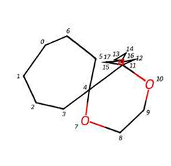 C1CCCC2(CC1)OCCOC21CCCCCC1